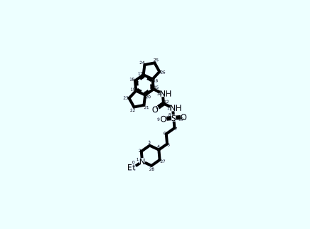 CCN1CCC(CCCS(=O)(=O)NC(=O)Nc2c3c(cc4c2CCC4)CCC3)CC1